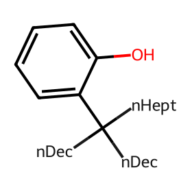 CCCCCCCCCCC(CCCCCCC)(CCCCCCCCCC)c1ccccc1O